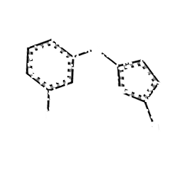 Cc1ccc(Oc2cccc(F)c2)s1